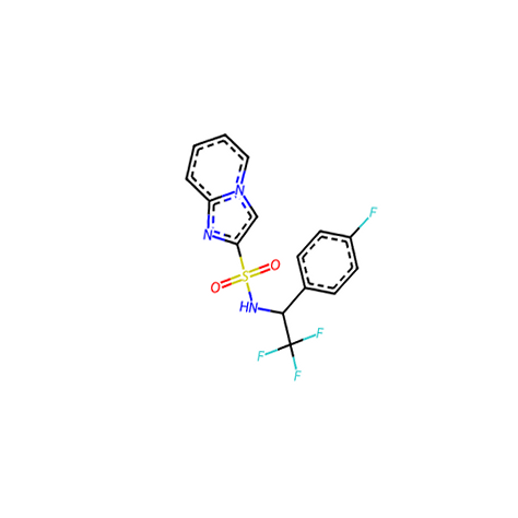 O=S(=O)(NC(c1ccc(F)cc1)C(F)(F)F)c1cn2ccccc2n1